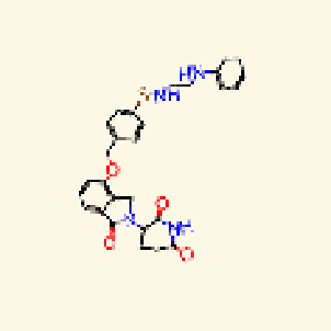 O=C1CCC(N2Cc3c(OCc4ccc(SNCCNC5=CC=CCC5)cc4)cccc3C2=O)C(=O)N1